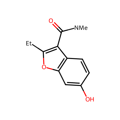 CCc1oc2cc(O)ccc2c1C(=O)N[14CH3]